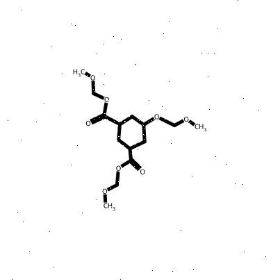 COCOC(=O)C1CC(OCOC)CC(C(=O)OCOC)C1